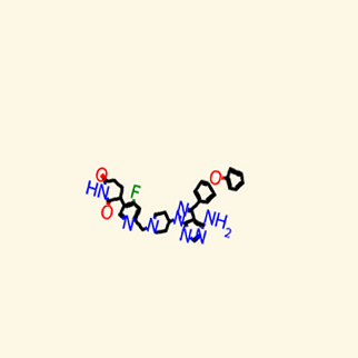 Nc1ncnc2c1c(-c1ccc(Oc3ccccc3)cc1)nn2C1CCN(Cc2cc(F)c(C3CCC(=O)NC3=O)cn2)CC1